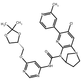 Cc1cc(-c2nc3c(cc2Cl)N2CCC(C2)N3C(=O)Nc2cc(OC[C@@H]3COC(C)(C)O3)ncn2)ccn1